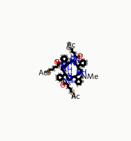 CNCc1ccccc1/C1=c2\cc/c([nH]2)=C(\c2ccccc2NC(=O)CCCCSC(C)=O)C2=N/C(=C(/c3ccccc3NC(=O)CCCCSC(C)=O)c3ccc([nH]3)/C(c3ccccc3NC(=O)CCCCSC(C)=O)=C3/C=CC1N3)C=C2